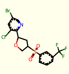 O=S(=O)(c1cccc(C(F)(F)F)c1)C1COC(c2ncc(Br)cc2Cl)C1